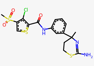 CC1(c2cccc(NC(=O)c3scc(S(C)(=O)=O)c3Cl)c2)CCSC(N)=N1